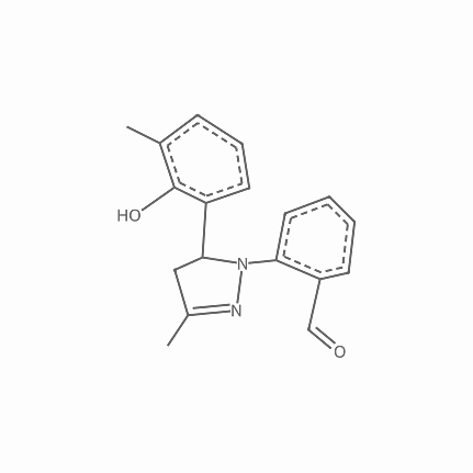 CC1=NN(c2ccccc2C=O)C(c2cccc(C)c2O)C1